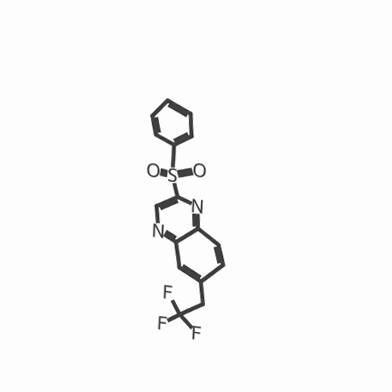 O=S(=O)(c1ccccc1)c1cnc2cc(CC(F)(F)F)ccc2n1